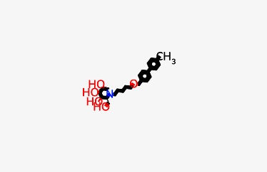 Cc1ccc(-c2ccc(COCCCCCN3C[C@H](O)C(O)[C@H](O)[C@H]3CO)cc2)cc1